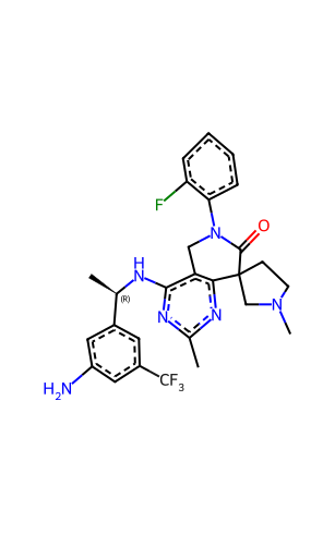 Cc1nc(N[C@H](C)c2cc(N)cc(C(F)(F)F)c2)c2c(n1)C1(CCN(C)C1)C(=O)N(c1ccccc1F)C2